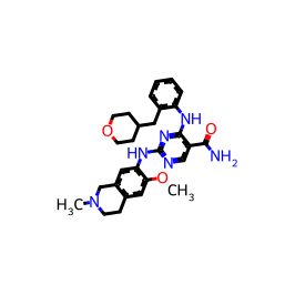 COc1cc2c(cc1Nc1ncc(C(N)=O)c(Nc3ccccc3CC3CCOCC3)n1)CN(C)CC2